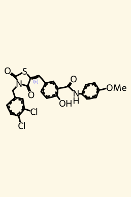 COc1ccc(NC(=O)c2cc(/C=C3/SC(=O)N(Cc4ccc(Cl)c(Cl)c4)C3=O)ccc2O)cc1